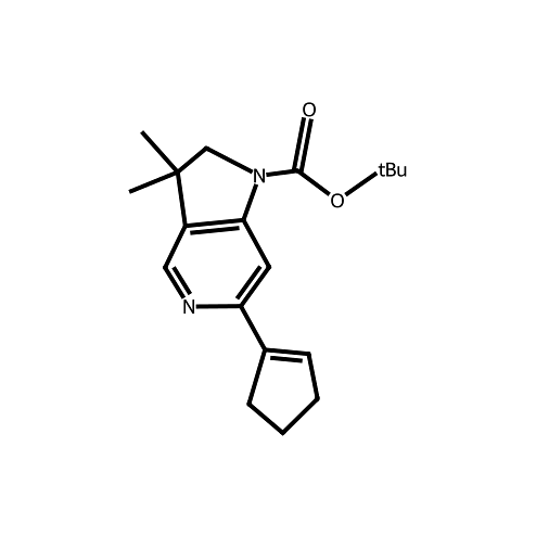 CC(C)(C)OC(=O)N1CC(C)(C)c2cnc(C3=CCCC3)cc21